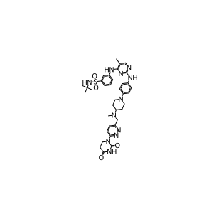 Cc1cnc(Nc2ccc(N3CCC(N(C)Cc4ccc(N5CCC(=O)NC5=O)nn4)CC3)cc2)nc1Nc1cccc(S(=O)(=O)NC(C)(C)C)c1